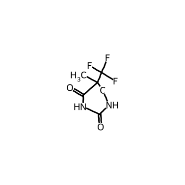 CC1(C(F)(F)F)CNC(=O)NC1=O